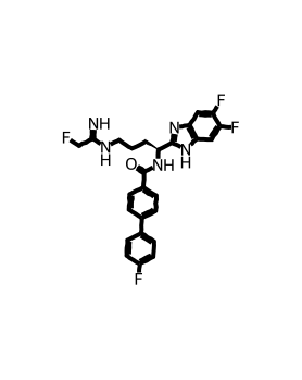 N=C(CF)NCCC[C@H](NC(=O)c1ccc(-c2ccc(F)cc2)cc1)c1nc2cc(F)c(F)cc2[nH]1